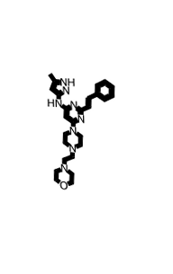 Cc1cc(Nc2cc(N3CCN(CCN4CCOCC4)CC3)nc(/C=C/c3ccccc3)n2)n[nH]1